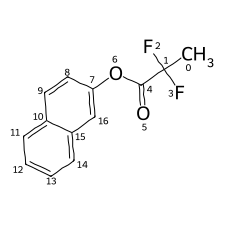 CC(F)(F)C(=O)Oc1ccc2ccccc2c1